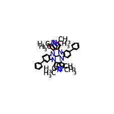 Cc1cc(N2c3ccc(-c4ccccc4)cc3N(c3cc(C)nc(C)c3)C2C2N(c3cc(C)nc(C)c3)c3ccc(-c4ccccc4)cc3N2c2cc(C)nc(C)c2)cc(C)n1